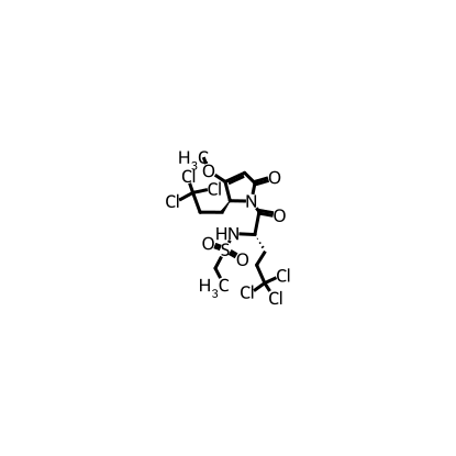 CCS(=O)(=O)N[C@@H](CCC(Cl)(Cl)Cl)C(=O)N1C(=O)C=C(OC)[C@@H]1CCC(Cl)(Cl)Cl